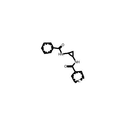 O=C(NC1CC1NC(=O)c1ccccc1)c1ccccc1